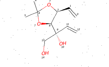 C=C[C@@H]1OC(C)(C)O[C@@H]1[C@@](O)(C=C)CO